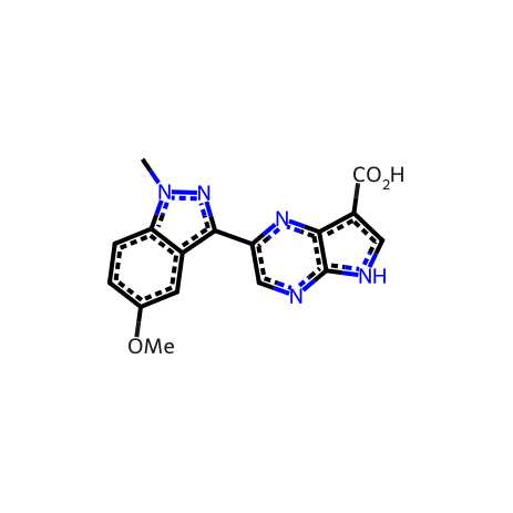 COc1ccc2c(c1)c(-c1cnc3[nH]cc(C(=O)O)c3n1)nn2C